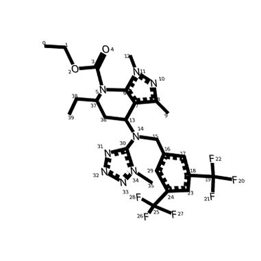 CCOC(=O)N1c2c(c(C)nn2C)C(N(Cc2cc(C(F)(F)F)cc(C(F)(F)F)c2)c2nnnn2C)CC1CC